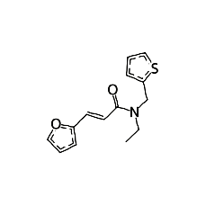 CCN(Cc1cccs1)C(=O)/C=C/c1ccco1